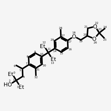 CCC(O)(CC)CC(C)c1ccc(C(CC)(CC)c2ccc(OCC3COC(C)(C)O3)c(C)c2)cc1C